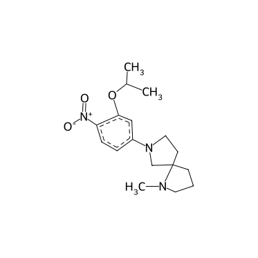 CC(C)Oc1cc(N2CCC3(CCCN3C)C2)ccc1[N+](=O)[O-]